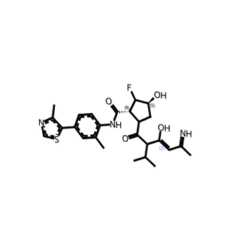 CC(=N)/C=C(\O)C(C(=O)C1C[C@H](O)C(F)[C@H]1C(=O)Nc1ccc(-c2scnc2C)cc1C)C(C)C